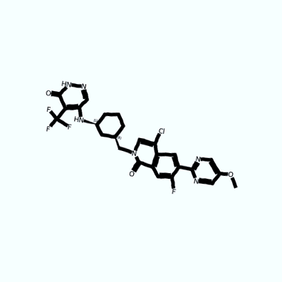 COc1cnc(-c2cc3c(Cl)cn(C[C@@H]4CCC[C@H](Nc5cn[nH]c(=O)c5C(F)(F)F)C4)c(=O)c3cc2F)nc1